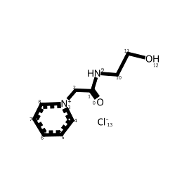 O=C(C[n+]1ccccc1)NCCO.[Cl-]